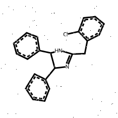 Clc1ccccc1CC1=NC(c2ccccc2)C(c2ccccc2)N1